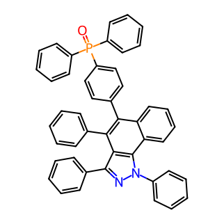 O=P(c1ccccc1)(c1ccccc1)c1ccc(-c2c(-c3ccccc3)c3c(-c4ccccc4)nn(-c4ccccc4)c3c3ccccc23)cc1